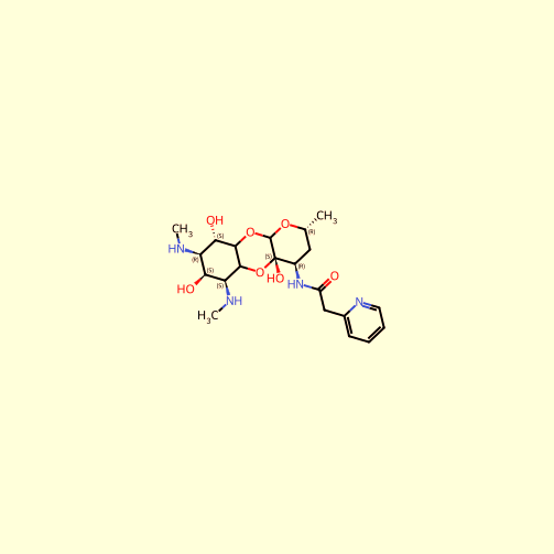 CN[C@@H]1[C@H](O)[C@H](NC)C2O[C@]3(O)C(OC2[C@H]1O)O[C@H](C)C[C@H]3NC(=O)Cc1ccccn1